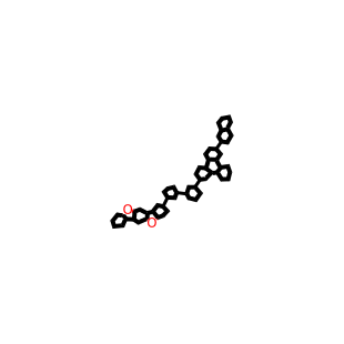 c1cc(-c2cccc(-c3ccc4c5ccc(-c6ccc7ccccc7c6)cc5c5ccccc5c4c3)c2)cc(-c2ccc3oc4cc5c(cc4c3c2)oc2ccccc25)c1